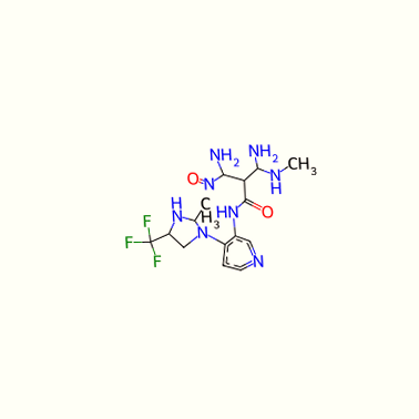 CNC(N)C(C(=O)Nc1cnccc1N1CC(C(F)(F)F)NC1C)C(N)N=O